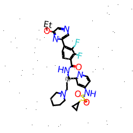 CCOc1cncc(-c2ccc(C(=O)N[C@@H](CCN3CCCCC3)c3cc(NS(=O)(=O)C4CC4)ccn3)c(F)c2F)n1